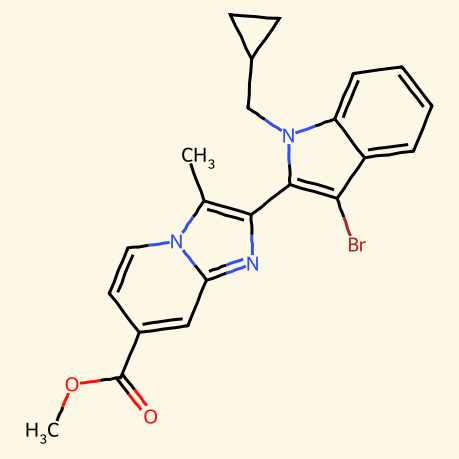 COC(=O)c1ccn2c(C)c(-c3c(Br)c4ccccc4n3CC3CC3)nc2c1